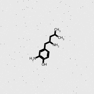 CC(C)CC(N)Cc1ccc(O)c(N)c1